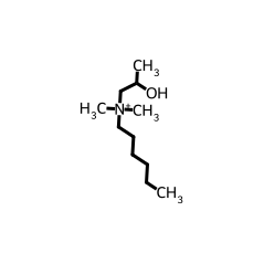 CCCCCC[N+](C)(C)CC(C)O